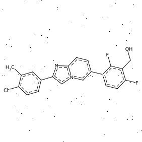 Cc1cc(-c2cn3cc(-c4ccc(F)c(CO)c4F)ccc3n2)ccc1Cl